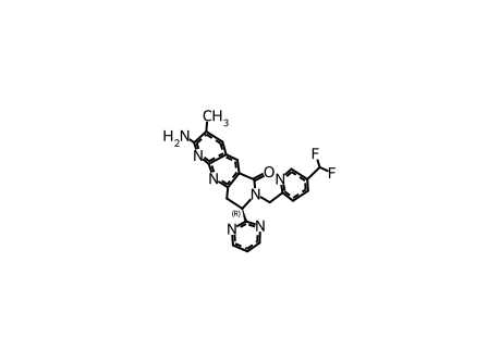 Cc1cc2cc3c(nc2nc1N)C[C@H](c1ncccn1)N(Cc1ccc(C(F)F)cn1)C3=O